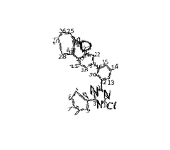 Clc1nc(-c2ccccc2)nc(-c2cccc(-c3ccc4c(c3)oc3ccccc34)c2)n1